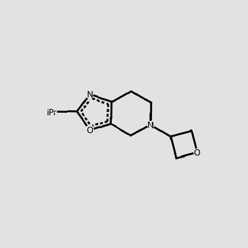 CC(C)c1nc2c(o1)CN(C1COC1)CC2